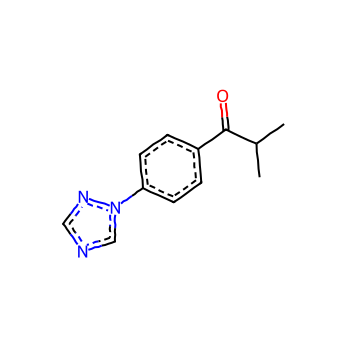 CC(C)C(=O)c1ccc(-n2cncn2)cc1